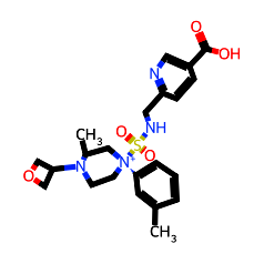 Cc1cccc([N@+]2(S(=O)(=O)NCc3ccc(C(=O)O)cn3)CCN(C3COC3)C(C)C2)c1